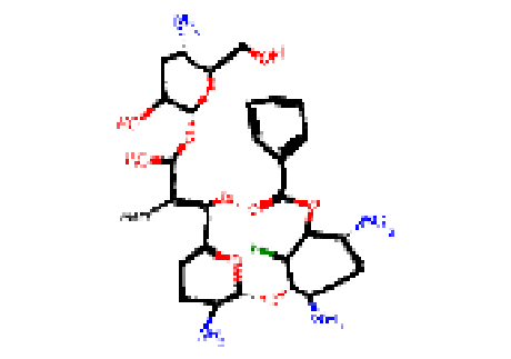 CN/C(=C(/O)C1CCC(N)[C@@H](O[C@@H]2C(N)C[C@@H](N)C(OC(=O)c3ccccc3)C2F)O1)C(O)O[C@H]1OC(CO)[C@@H](N)CC1O